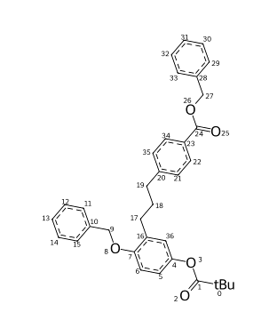 CC(C)(C)C(=O)Oc1ccc(OCc2ccccc2)c(CCCc2ccc(C(=O)OCc3ccccc3)cc2)c1